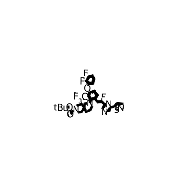 CC(C)(C)OC(=O)N1CCC2(CCCN(c3c(/C=C(\F)c4cncc(-c5ccns5)n4)ccc(Oc4cccc(F)c4F)c3C(F)(F)F)C2)CC1